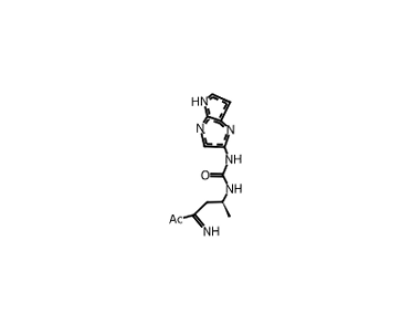 CC(=O)C(=N)C[C@H](C)NC(=O)Nc1cnc2[nH]ccc2n1